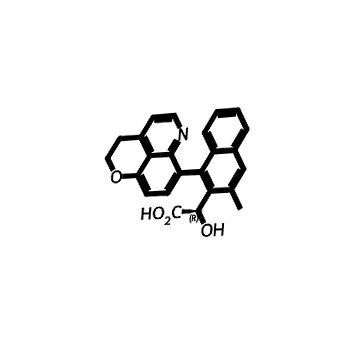 Cc1cc2ccccc2c(-c2ccc3c4c(ccnc24)CCO3)c1[C@@H](O)C(=O)O